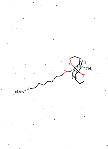 CCCCCCCCCCCCCCCCCCO[SiH](C)C1(C2([SiH](C)C)CCCCO2)CCCCO1